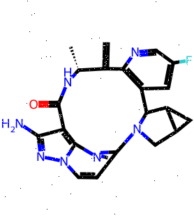 C=C1c2ncc(F)cc2C2C3CC3CN2c2ccn3nc(N)c(c3n2)C(=O)N[C@@H]1C